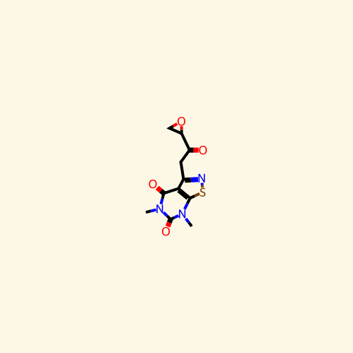 Cn1c(=O)c2c(CC(=O)C3CO3)nsc2n(C)c1=O